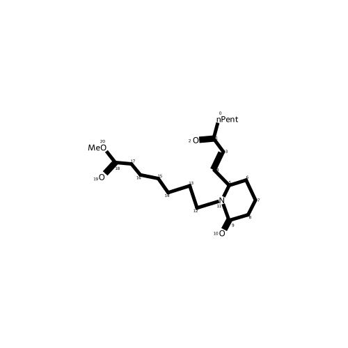 CCCCCC(=O)C=CC1CCCC(=O)N1CCCCCCC(=O)OC